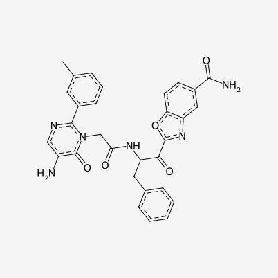 Cc1cccc(-c2ncc(N)c(=O)n2CC(=O)NC(Cc2ccccc2)C(=O)c2nc3cc(C(N)=O)ccc3o2)c1